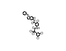 O=C(Nc1ccc2c(ccn2Cc2ccccc2)c1)c1cc(NC(=O)C2C(c3cc(Cl)cc(Cl)c3)C2(Cl)Cl)ccc1Cl